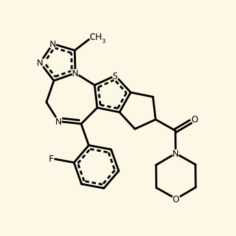 Cc1nnc2n1-c1sc3c(c1C(c1ccccc1F)=NC2)CC(C(=O)N1CCOCC1)C3